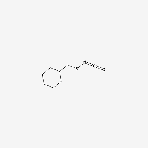 O=C=NSCC1CCCCC1